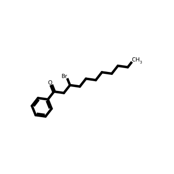 CCCCCCCCC(Br)CC(=O)c1ccccc1